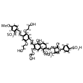 COc1ccc(N=Nc2cc(OCCO)c(N=Nc3c(SOOO)cc4c(S(=O)(=O)O)c(/N=N/C5C(=O)N(c6ccc(S(=O)(=O)O)cc6)N=C5C(=O)O)ccc4c3O)cc2OCCO)c(S(=O)(=O)O)c1